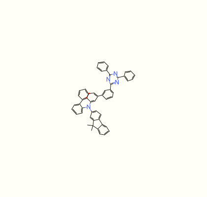 CC1(C)c2ccccc2-c2ccc(N(C3=CC(c4cccc(-c5nc(-c6ccccc6)nc(-c6ccccc6)n5)c4)=CCC3)c3ccccc3-c3ccccc3)cc21